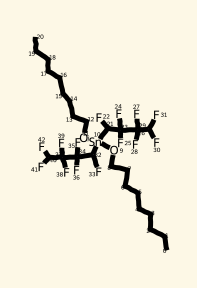 CCCCCCCCC[O][Sn]([O]CCCCCCCCC)([CH](F)C(F)(F)C(F)(F)C(F)F)[CH](F)C(F)(F)C(F)(F)C(F)F